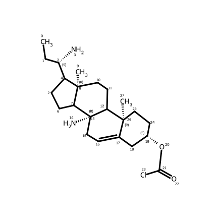 CC[C@H](N)C1CCC2[C@]1(C)CCC1[C@@]2(N)CC=C2C[C@@H](OC(=O)Cl)CC[C@@]21C